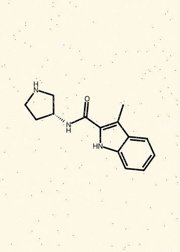 Cc1c(C(=O)N[C@@H]2CCNC2)[nH]c2ccccc12